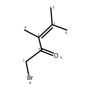 CC(C)=C(C)C(=O)CBr